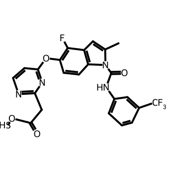 Cc1cc2c(F)c(Oc3ccnc(CC(=O)OS)n3)ccc2n1C(=O)Nc1cccc(C(F)(F)F)c1